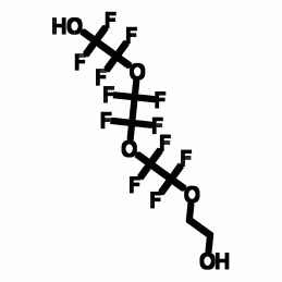 OCCOC(F)(F)C(F)(F)OC(F)(F)C(F)(F)OC(F)(F)C(O)(F)F